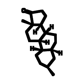 C[C@H]1CC[C@H]2[C@@H](CC[C@@H]3[C@@H]2CC[C@]2(C)C(=O)CC[C@@H]32)C1